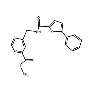 COC(=O)c1cccc(CNC(=O)c2ccc(-c3ccccc3)o2)c1